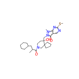 CSc1ncc2c(=O)n(CC3(O)CCN(C(=O)C(C)CC4CCCCC4)CC34CCCC4)n(C)c2n1